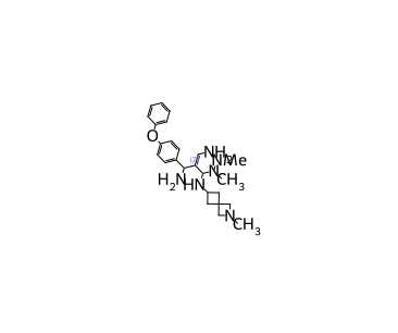 CNN(C)C(NC1CC2(C1)CN(C)C2)/C(=C\N)C(N)c1ccc(Oc2ccccc2)cc1